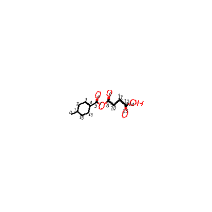 CC1CCC(C(=O)OC(=O)CCC(=O)O)CC1